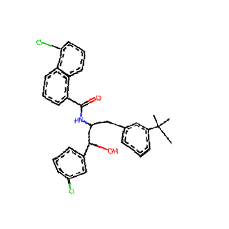 CC(C)(C)c1cccc(CC(NC(=O)c2cccc3c(Cl)cccc23)C(O)c2cccc(Cl)c2)c1